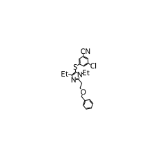 CCc1nc(CCOCc2ccccc2)n(CC)c1Sc1cc(Cl)cc(C#N)c1